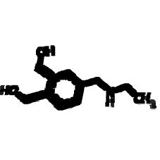 CCNCc1ccc(=CO)c(=CO)c1